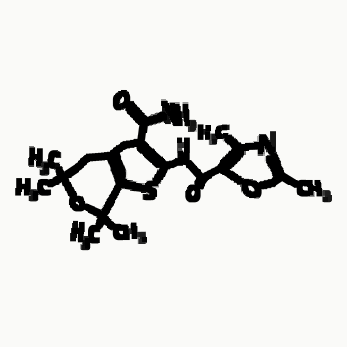 Cc1nc(C)c(C(=O)Nc2sc3c(c2C(N)=O)CC(C)(C)OC3(C)C)o1